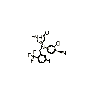 CNC[C@H](CC=O)N(Cc1cc(F)ccc1C(F)(F)F)c1ccc(C#N)c(Cl)c1